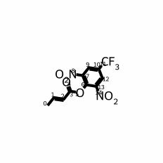 CC=CC(=O)Oc1c([N+](=O)[O-])cc(C(F)(F)F)cc1[N+](=O)[O-]